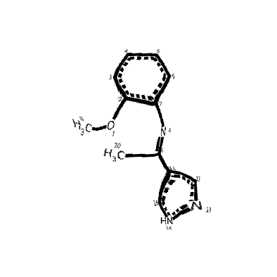 COc1ccccc1N=C(C)c1cn[nH]c1